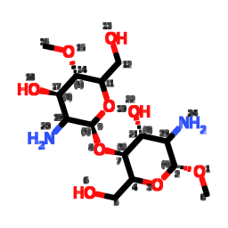 CO[C@@H]1OC(CO)[C@@H](O[C@@H]2OC(CO)[C@@H](OC)[C@H](O)C2N)[C@H](O)C1N